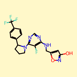 Oc1cc(CNc2ncnc(N3CCCC3c3ccc(C(F)(F)F)cc3)c2F)on1